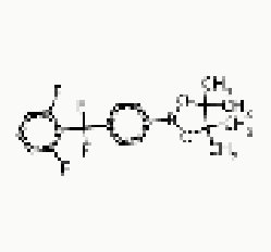 CC1(C)OB(c2ccc(C(F)(F)c3c(F)cccc3F)cc2)OC1(C)C